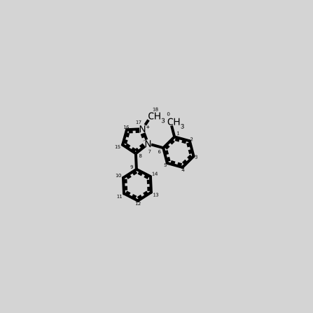 Cc1ccccc1-n1c(-c2ccccc2)cc[n+]1C